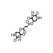 O=C(/C=C/C(=O)Oc1c[nH]c(=O)[nH]c1=O)Oc1c[nH]c(=O)[nH]c1=O